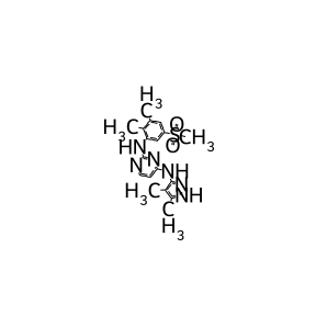 Cc1cc(S(C)(=O)=O)cc(Nc2nccc(Nc3n[nH]c(C)c3C)n2)c1C